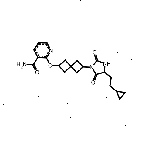 NC(=O)c1cccnc1OC1CC2(C1)CC(N1C(=O)NC(CCC3CC3)C1=O)C2